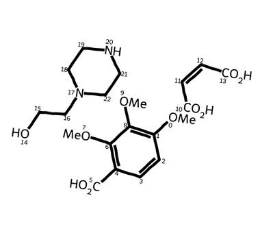 COc1ccc(C(=O)O)c(OC)c1OC.O=C(O)/C=C\C(=O)O.OCCN1CCNCC1